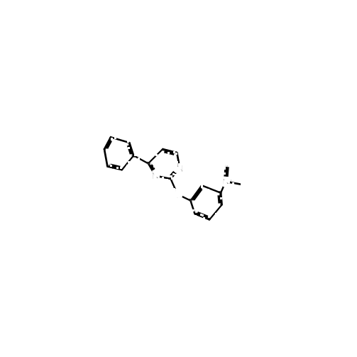 O=[N+]([O-])c1cccc(Oc2nccc(-c3ccccc3)n2)c1